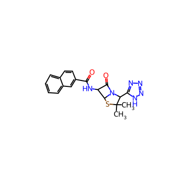 CC1(C)SC2C(NC(=O)c3ccc4ccccc4c3)C(=O)N2C1c1nnn[nH]1